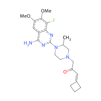 COc1cc2c(N)nc(N3CCN(CC(=O)C=C4CCC4)CC3C)nc2c(F)c1OC